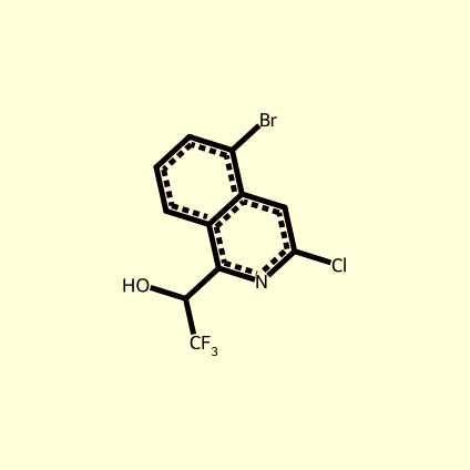 OC(c1nc(Cl)cc2c(Br)cccc12)C(F)(F)F